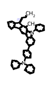 C=C/C=C1/c2ccccc2-c2cc3c4cc(-c5ccc(N(c6ccccc6)c6ccccc6)cc5)ccc4n(-c4ccccc4)c3c(C)c21